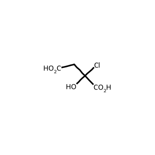 O=C(O)CC(O)(Cl)C(=O)O